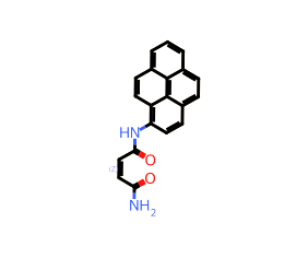 NC(=O)/C=C\C(=O)Nc1ccc2ccc3cccc4ccc1c2c34